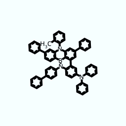 Cc1ccccc1N1c2cc(-c3ccccc3)ccc2B2c3c(cc(-c4ccccc4)cc31)-c1cc(N(c3ccccc3)c3ccccc3)ccc1N2c1ccc(-c2ccccc2)cc1